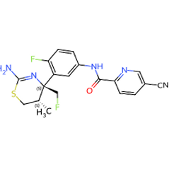 C[C@@H]1CSC(N)=N[C@]1(CF)c1cc(NC(=O)c2ccc(C#N)cn2)ccc1F